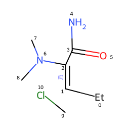 CC/C=C(\C(N)=O)N(C)C.CCl